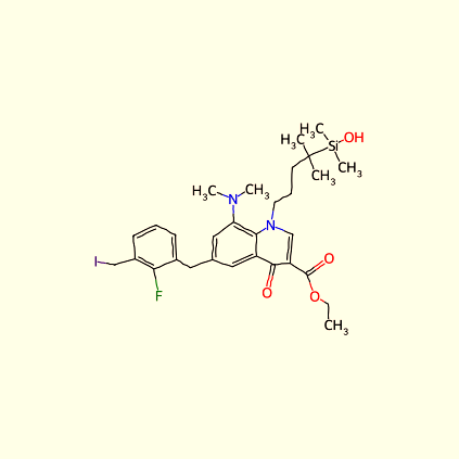 CCOC(=O)c1cn(CCCC(C)(C)[Si](C)(C)O)c2c(N(C)C)cc(Cc3cccc(CI)c3F)cc2c1=O